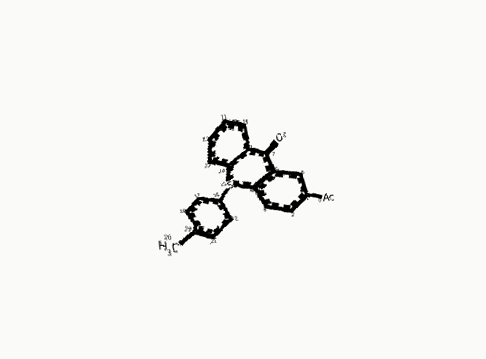 CC(=O)c1ccc2c(c1)c(=O)c1ccccc1[s+]2-c1ccc(C)cc1